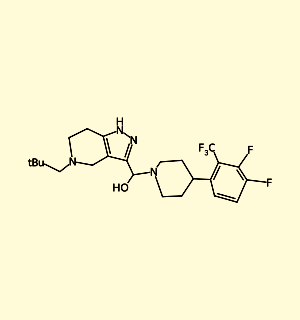 CC(C)(C)CN1CCc2[nH]nc(C(O)N3CCC(c4ccc(F)c(F)c4C(F)(F)F)CC3)c2C1